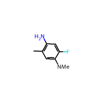 CNc1cc(C)c(N)cc1F